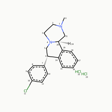 CN1CCN2C[C@@H](c3ccc(Cl)cc3)c3ccccc3[C@@H]2C1.Cl.Cl